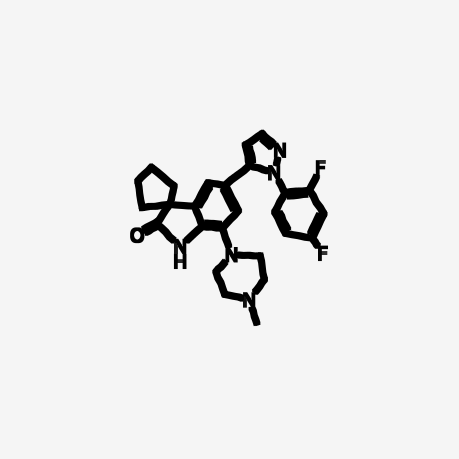 CN1CCN(c2cc(-c3ccnn3-c3ccc(F)cc3F)cc3c2NC(=O)C32CCCC2)CC1